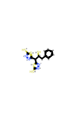 Sc1nnc(C(c2nnc(S)s2)C(S)Cc2ccccc2)s1